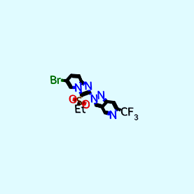 CCS(=O)(=O)c1c(-n2cc3cnc(C(F)(F)F)cc3n2)nc2ccc(Br)cn12